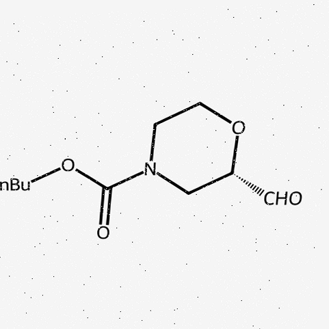 CCCCOC(=O)N1CCO[C@H](C=O)C1